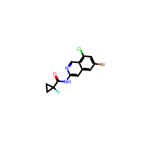 O=C(Nc1cc2cc(Br)cc(Cl)c2cn1)C1(F)CC1